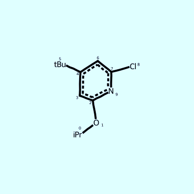 CC(C)Oc1cc(C(C)(C)C)cc(Cl)n1